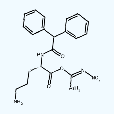 NCCC[C@H](NC(=O)C(c1ccccc1)c1ccccc1)C(=O)OC([AsH2])=N[N+](=O)[O-]